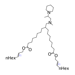 CCCCCC/C=C/COC(=O)CCCCCCCC(CCCCCCCC(=O)OC/C=C/CCCCCC)CN(C)CC(C)N1CCCCC1